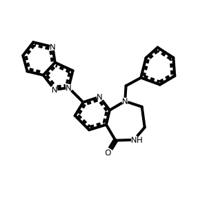 O=C1NCCN(Cc2ccccc2)c2nc(-n3cc4ncccc4n3)ccc21